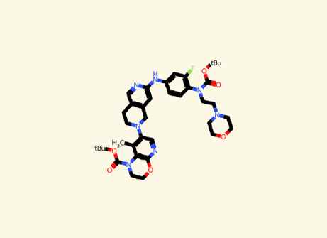 Cc1c(N2CCc3cnc(Nc4ccc(N(CCN5CCOCC5)C(=O)OC(C)(C)C)c(F)c4)cc3C2)cnc2c1N(C(=O)OC(C)(C)C)CCO2